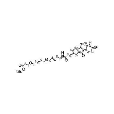 CC(C)(C)OC(=O)CCOCCOCCOCCOCCNC(=O)COc1ccc2c(c1)C(=O)N(C1CCC(=O)NC1=O)C2=O